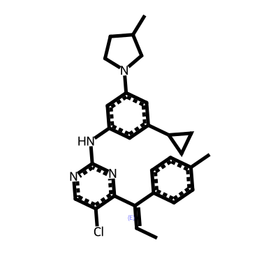 C/C=C(\c1ccc(C)cc1)c1nc(Nc2cc(C3CC3)cc(N3CCC(C)C3)c2)ncc1Cl